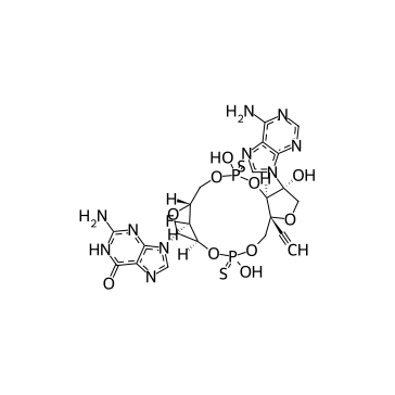 C#C[C@@]12COP(O)(=S)O[C@@H]3[C@@H](F)[C@@H](COP(O)(=S)O[C@H]1[C@@](O)(n1cnc4c(N)ncnc41)CO2)O[C@H]3n1cnc2c(=O)[nH]c(N)nc21